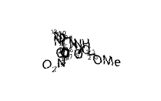 COCCOC(=O)N/N=C/c1cn(C)nc1-c1ccc([N+](=O)[O-])o1